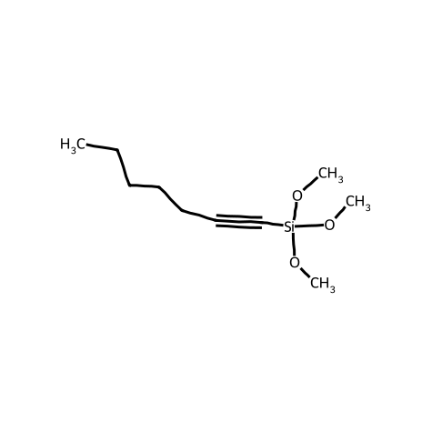 CCCCCC#C[Si](OC)(OC)OC